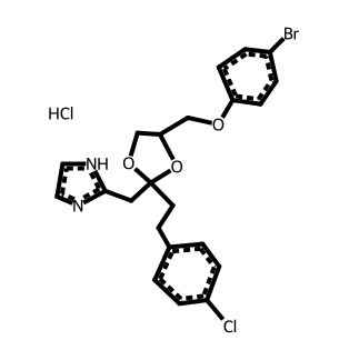 Cl.Clc1ccc(CCC2(Cc3ncc[nH]3)OCC(COc3ccc(Br)cc3)O2)cc1